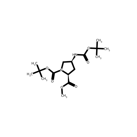 COC(=O)[C@@H]1C[C@H](NC(=O)OC(C)(C)C)CN1C(=O)OC(C)(C)C